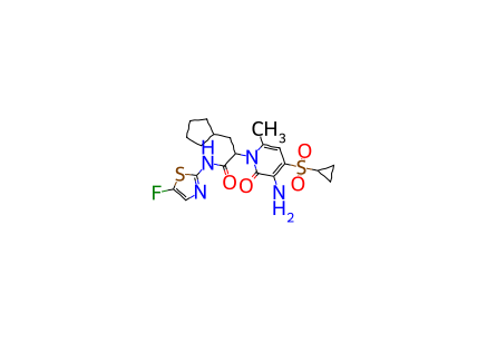 Cc1cc(S(=O)(=O)C2CC2)c(N)c(=O)n1C(CC1CCCC1)C(=O)Nc1ncc(F)s1